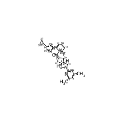 Cc1cc(C)nc(N2C[C@H]3CN(C(=O)c4c(F)cccc4-n4ncc(C5CC5)n4)C[C@H]3C2)n1